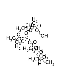 C=C(C)C(=O)OCC(CC)(COC(=O)C(=C)C)COC(=O)C(=C)C.C=C(C)C(=O)OCCO.C=CC(=O)NC(C)(C)CC(C)=O